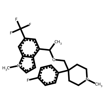 CC(OCC1(c2ccc(F)cc2)CCN(C)CC1)c1cc(C(F)(F)F)cc2c1ccn2C